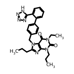 CCCc1nc2c(c(=O)n(CC)c(=O)n2CCC)n1Cc1ccc(-c2ccccc2-c2nnn[nH]2)cc1